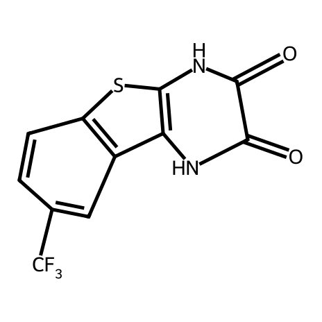 O=c1[nH]c2sc3ccc(C(F)(F)F)cc3c2[nH]c1=O